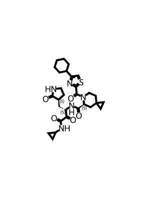 O=C(NC1CC1)C(=O)[C@H](C[C@@H]1CCNC1=O)NC(=O)[C@@H]1CC2(CCN1C(=O)c1nc(C3CCCCC3)cs1)CC2